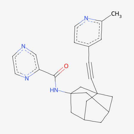 Cc1cc(C#CC23CC4CC(C2)CC(NC(=O)c2cnccn2)(C4)C3)ccn1